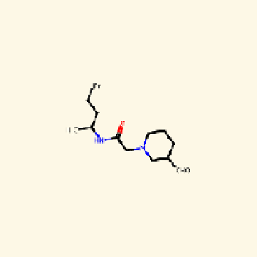 CC(C)CCC(C)NC(=O)CN1CCCC(C=O)C1